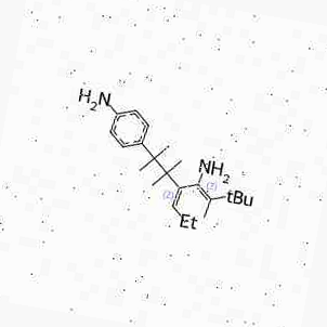 CC/C=C(\C(N)=C(/C)C(C)(C)C)C(C)(C)C(C)(C)c1ccc(N)cc1